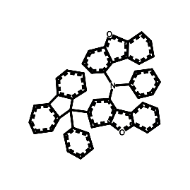 c1ccc(N(c2cccc3oc4ccccc4c23)c2cc(C3(c4ccccc4)c4ccccc4-c4ccccc43)cc3oc4ccccc4c23)cc1